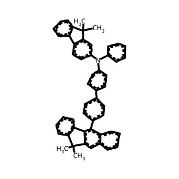 CC1(C)c2ccccc2-c2ccc(N(c3ccccc3)c3ccc(-c4ccc(-c5c6c(cc7ccccc57)C(C)(C)c5ccccc5-6)cc4)cc3)cc21